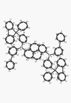 c1ccc(-c2cccc(N(c3cccc(C4(c5ccccc5)c5ccccc5-c5ccccc54)c3)c3ccc4ccc5c(N(c6cccc(-c7ccccc7)c6)c6cccc(C7(c8ccccc8)c8ccccc8-c8ccccc87)c6)ccc6ccc3c4c65)c2)cc1